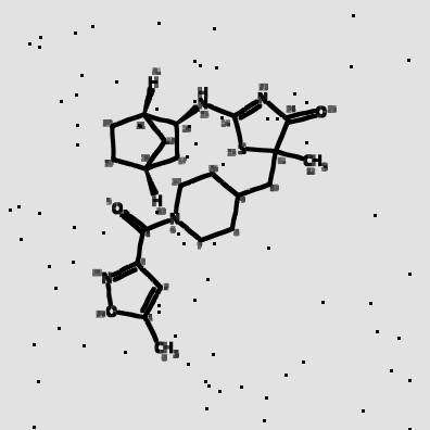 Cc1cc(C(=O)N2CCC(CC3(C)SC(N[C@H]4C[C@@H]5CC[C@H]4C5)=NC3=O)CC2)no1